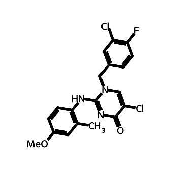 COc1ccc(Nc2nc(=O)c(Cl)cn2Cc2ccc(F)c(Cl)c2)c(C)c1